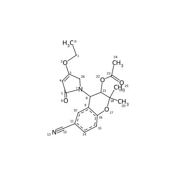 CCOC1=CC(=O)N(C2c3cc(C#N)ccc3OC(C)(C)C2OC(C)=O)C1